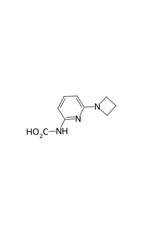 O=C(O)Nc1cccc(N2CCC2)n1